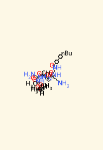 CCCCc1ccc(-c2ccc(C(=O)NCCC(=O)N[C@@H](CCCCN)C(=O)N3CCC[C@H]3C(=O)N[C@@H](C)C(=O)N[C@@H](CC(N)=O)C(=O)N[C@@H](C)B3O[C@@H]4C[C@@H]5C[C@@H](C5(C)C)[C@]4(C)O3)cc2)cc1